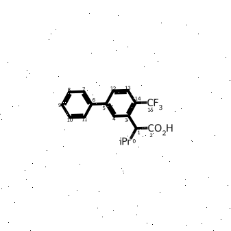 CC(C)C(C(=O)O)c1cc(-c2ccccc2)ccc1C(F)(F)F